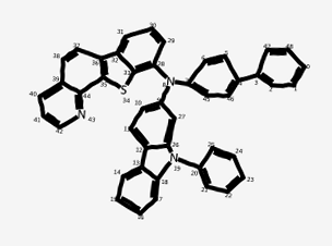 c1ccc(-c2ccc(N(c3ccc4c5ccccc5n(-c5ccccc5)c4c3)c3cccc4c3sc3c4ccc4cccnc43)cc2)cc1